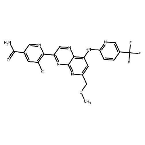 COCc1cc(Nc2ccc(C(F)(F)F)cn2)c2ncc(-c3ncc(C(N)=O)cc3Cl)nc2n1